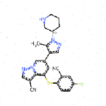 Cc1c(-c2cc(Sc3ccc(F)cc3C#N)c3c(C#N)cnn3c2)cnn1[C@H]1CCCNC1